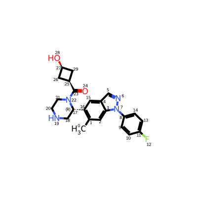 Cc1cc2c(cnn2-c2ccc(F)cc2)cc1[C@@H]1CNCCN1C(=O)[C@H]1C[C@@H](O)C1